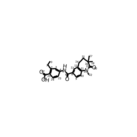 CCc1cc(NC(=O)c2ccc3c(c2)CCC(C)(C)C(=O)N3C)ccc1C(=O)O